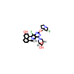 C#Cc1cccc2cc(O)cc(-c3ncc4c(N5C[C@H]6C[C@@H](O)[C@@H](C5)O6)nc(OC[C@@]56CCCN5C[C@H](F)C6)nc4c3F)c12